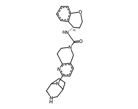 O=C(N[C@H]1CCOc2ccccc21)N1CCc2nc(N3C4CCC3CNC4)ccc2C1